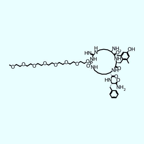 COCCOCCOCCOCCOCCOCCOCCOP1(=O)NCCCC[C@@H](C(=O)N[C@@H](Cc2ccccc2)C(N)=O)NC(=O)[C@H](Cc2c(C)cc(O)cc2C)NC(=O)[C@H](N)CCCNC(=N)N1